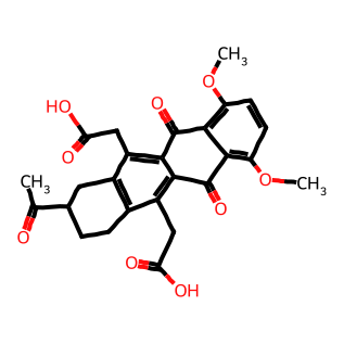 COc1ccc(OC)c2c1C(=O)c1c(CC(=O)O)c3c(c(CC(=O)O)c1C2=O)CC(C(C)=O)CC3